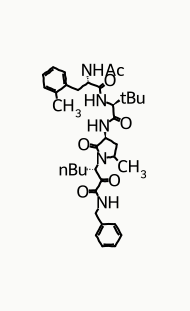 CCCC[C@@H](C(=O)C(=O)NCc1ccccc1)N1C(=O)[C@@H](NC(=O)[C@@H](NC(=O)[C@H](Cc2ccccc2C)NC(C)=O)C(C)(C)C)CC1C